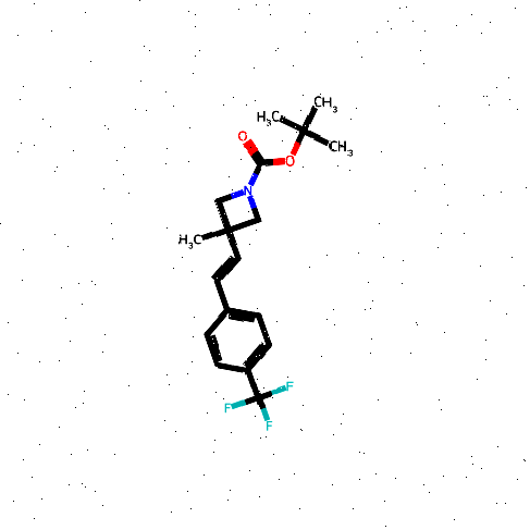 CC1(/C=C/c2ccc(C(F)(F)F)cc2)CN(C(=O)OC(C)(C)C)C1